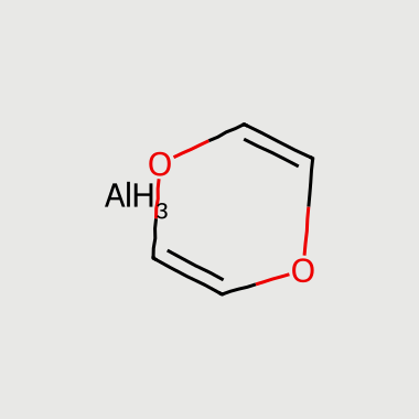 C1=COC=CO1.[AlH3]